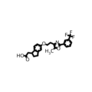 Cc1oc(-c2cccc(C(F)(F)F)c2)nc1CCOc1ccc2c(c1)CCC2CC(=O)O